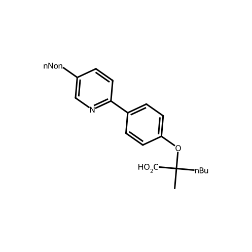 CCCCCCCCCc1ccc(-c2ccc(OC(C)(CCCC)C(=O)O)cc2)nc1